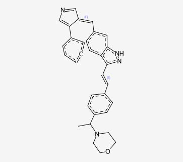 CC(c1ccc(/C=C/c2n[nH]c3cc(/C=C4/C=NC=C4c4ccccc4)ccc23)cc1)N1CCOCC1